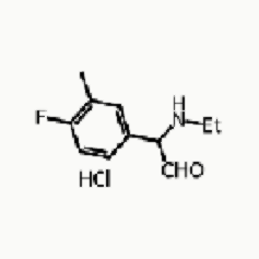 CCNC(C=O)c1ccc(F)c(C)c1.Cl